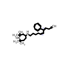 C#CC/C=C(\C=C/CCCCNC1CCC(C)(C)NC(C)(C)C1)C1=C=CC=CC=C1